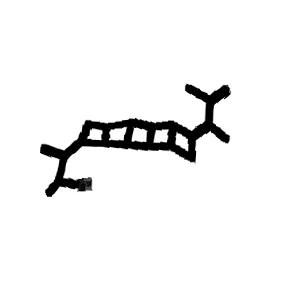 CC(C)C(C)C1CC2C1C1C2C2C3C(C(C)C(C)S)CC3C12